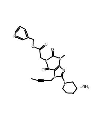 CC#CCn1c(N2CCC[C@@H](N)C2)nc2c1c(=O)n(CC(=O)OCc1cccnc1)c(=O)n2C